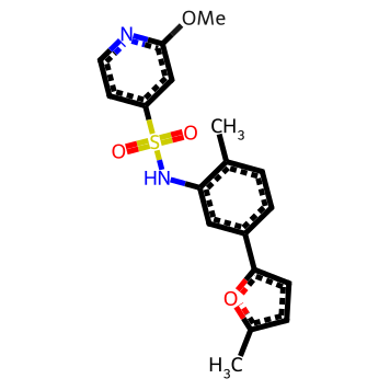 COc1cc(S(=O)(=O)Nc2cc(-c3ccc(C)o3)ccc2C)ccn1